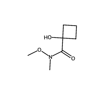 CON(C)C(=O)C1(O)CCC1